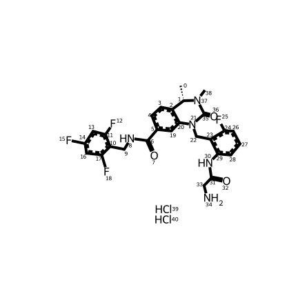 C[C@H]1c2ccc(C(=O)NCc3c(F)cc(F)cc3F)cc2N(Cc2c(F)cccc2NC(=O)CN)C(=O)N1C.Cl.Cl